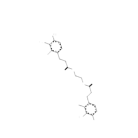 Cc1c(CCC(=O)OCCOC(=O)CCc2ccc(O)c(C(C)(C)C)c2C)ccc(O)c1C(C)(C)C